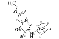 CCOC(=O)Cn1ncc(NC23CC4CC(CC2C4)C3)c(Br)c1=O